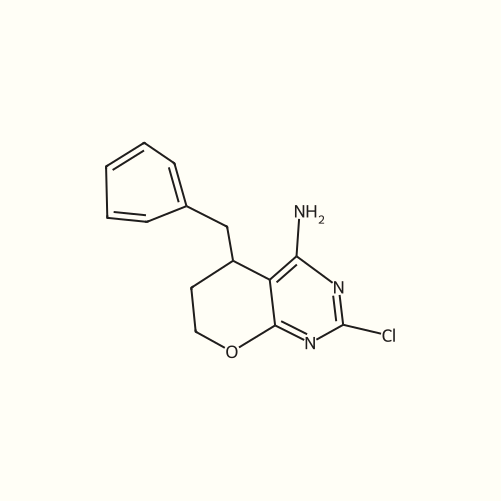 Nc1nc(Cl)nc2c1C(Cc1ccccc1)CCO2